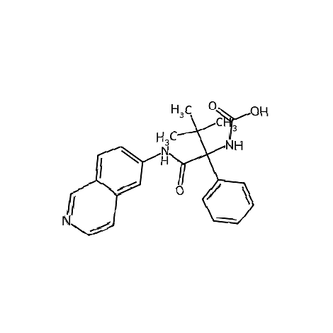 CC(C)(C)C(NC(=O)O)(C(=O)Nc1ccc2cnccc2c1)c1ccccc1